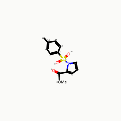 COC(=O)c1cccn1S(=O)(=O)c1ccc(C)cc1